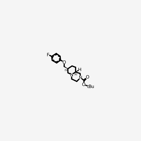 CC(C)(C)OC(=O)N1CCN2C[C@@H](COc3ccc(F)cc3)CC[C@@H]2C1